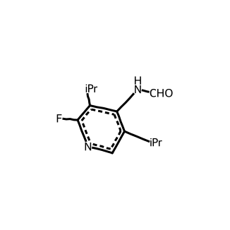 CC(C)c1cnc(F)c(C(C)C)c1NC=O